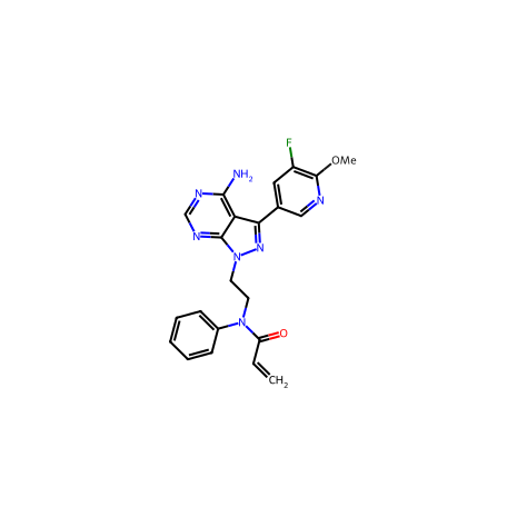 C=CC(=O)N(CCn1nc(-c2cnc(OC)c(F)c2)c2c(N)ncnc21)c1ccccc1